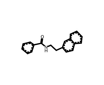 O=C(NCCc1ccc2ccccc2c1)c1ccccc1